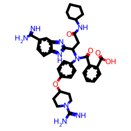 N=C(N)c1ccc2[nH]c(C(CC(=O)NC3CCCCC3)N(C(=O)c3ccccc3C(=O)O)c3ccc(OC4CCN(C(=N)N)CC4)cc3)nc2c1